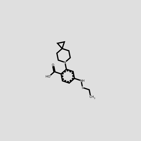 CCSNc1ccc(C(=O)O)c(N2CCC3(CC2)CC3)c1